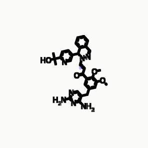 COc1cc(Cc2cnc(N)nc2N)cc(C(=O)/C=C/N2N=Cc3ccccc3C2c2ccc(C(C)(C)O)nc2)c1OC